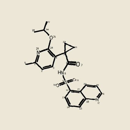 Cc1ccc(C2(C(=O)NS(=O)(=O)c3cccc4ncccc34)CC2)c(OC(C)C)n1